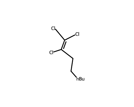 CCCCCCC(Cl)=C(Cl)Cl